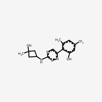 Cc1cc(C(F)(F)F)cc(O)c1-c1cnc(NC2CC(C)(O)C2)nn1